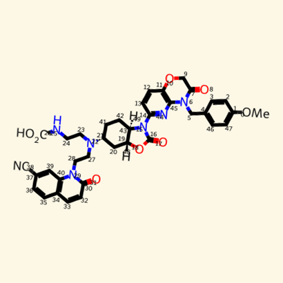 COc1ccc(CN2C(=O)COc3ccc(N4C(=O)O[C@@H]5C[C@H](N(CCNC(=O)O)CCn6c(=O)ccc7ccc(C#N)cc76)CC[C@H]54)nc32)cc1